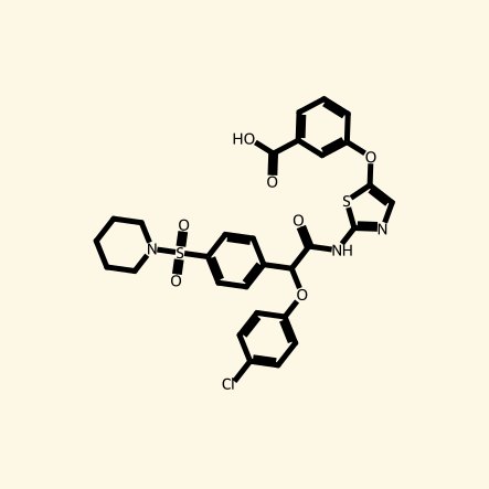 O=C(O)c1cccc(Oc2cnc(NC(=O)C(Oc3ccc(Cl)cc3)c3ccc(S(=O)(=O)N4CCCCC4)cc3)s2)c1